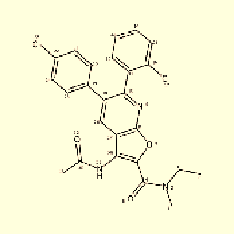 CCN(C)C(=O)c1oc2nc(-c3ccccc3Cl)c(-c3ccc(Cl)cc3)cc2c1NC(C)=O